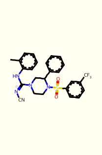 Cc1ccccc1N/C(=N/C#N)N1CCN(S(=O)(=O)c2cccc(C(F)(F)F)c2)C(c2ccccc2)C1